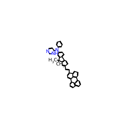 CC1(C)c2cc(/C=C/c3ccc(-c4ccccc4)c4c(-c5ccccc5)cccc34)ccc2-c2ccc(N(c3ccccc3)C3C=CN=CN3)cc21